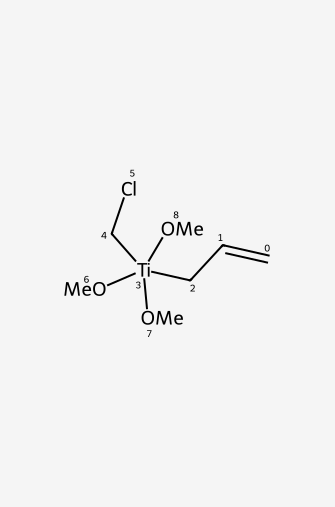 C=C[CH2][Ti]([CH2]Cl)([O]C)([O]C)[O]C